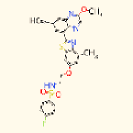 C#Cc1cc(-c2nc3c(C)cc(OCCNS(=O)(=O)c4ccc(F)cc4)cc3s2)c2ncc(OC)nc2c1